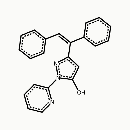 Oc1cc(C(=Cc2ccccc2)c2ccccc2)nn1-c1ccccn1